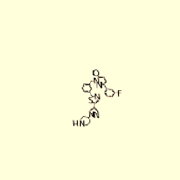 O=c1ccc(-c2cccc(F)c2)nn1Cc1cccc(-c2ncc(-c3cnn(C4CCNCC4)c3)s2)c1